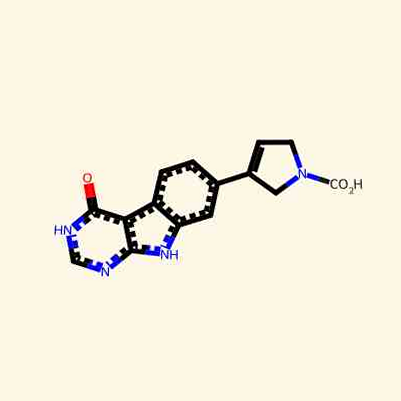 O=C(O)N1CC=C(c2ccc3c(c2)[nH]c2nc[nH]c(=O)c23)C1